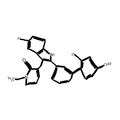 Cn1cccc(-c2c(-c3cccc(-c4ccc(C=O)cc4Cl)c3)[nH]c3ccc(F)cc23)c1=O